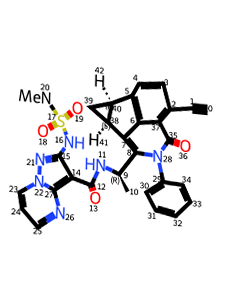 C#Cc1ccc2c3c(c([C@@H](C)NC(=O)c4c(NS(=O)(=O)NC)nn5cccnc45)n(-c4ccccc4)c(=O)c13)[C@H]1C[C@@H]21